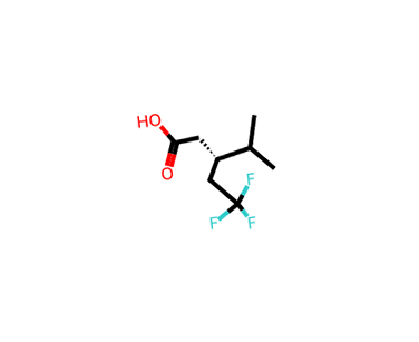 CC(C)[C@@H](CC(=O)O)CC(F)(F)F